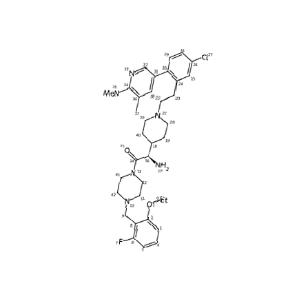 CCOc1cccc(F)c1CN1CCN(C(=O)[C@H](N)C2CCN(CCc3cc(Cl)ccc3-c3cnc(NC)c(C)c3)CC2)CC1